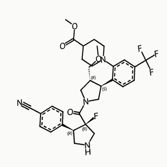 COC[C@H]1CN(C(=O)[C@]2(F)CNC[C@H]2c2ccc(C#N)cc2)C[C@@H]1c1ccc(C(F)(F)F)cc1N1CCC(C(=O)OC)CC1